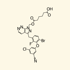 N#Cc1cc(Cl)cc(Oc2c(Br)ccc(Cc3nn(COC(=O)CCCCC(=O)O)c4nnccc34)c2F)c1